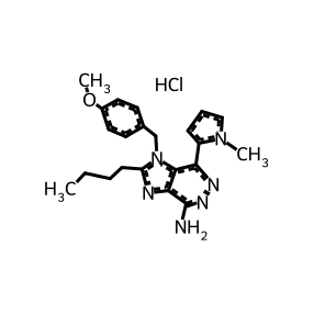 CCCCc1nc2c(N)nnc(-c3cccn3C)c2n1Cc1ccc(OC)cc1.Cl